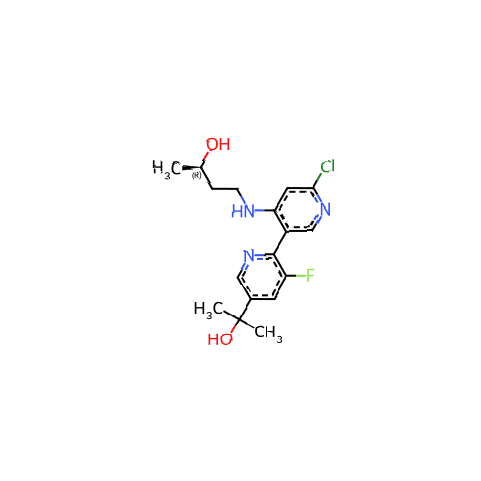 C[C@@H](O)CCNc1cc(Cl)ncc1-c1ncc(C(C)(C)O)cc1F